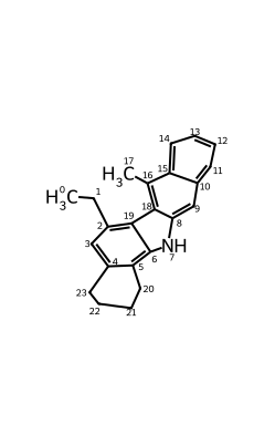 CCc1cc2c(c3[nH]c4cc5ccccc5c(C)c4c13)CCCC2